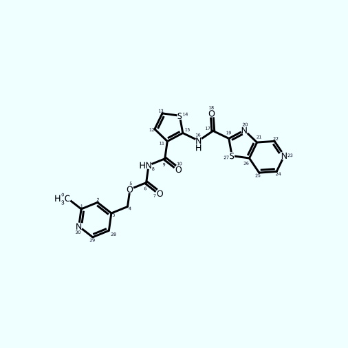 Cc1cc(COC(=O)NC(=O)c2ccsc2NC(=O)c2nc3cnccc3s2)ccn1